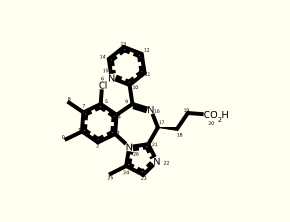 Cc1cc2c(c(Cl)c1C)C(c1ccccn1)=N[C@@H](CCC(=O)O)c1ncc(C)n1-2